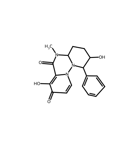 CN1C(=O)c2c(O)c(=O)ccn2N2C(c3ccccc3)C(O)CCC12